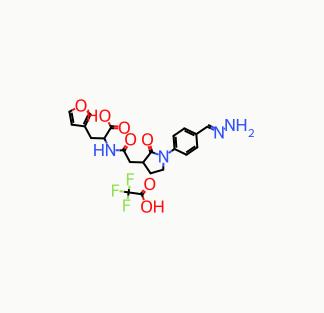 NN=Cc1ccc(N2CCC(CC(=O)NC(Cc3ccoc3)C(=O)O)C2=O)cc1.O=C(O)C(F)(F)F